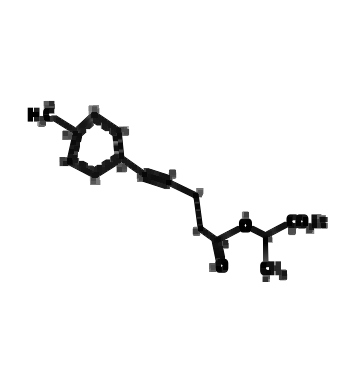 CCOC(=O)C(C)OC(=O)CCC#Cc1ccc(C)cc1